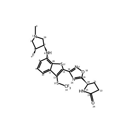 CN1C[C@H](F)[C@H](Nc2cccc3c(SC(F)(F)F)c(-c4noc([C@H]5CCC(=O)N5)n4)sc23)C1